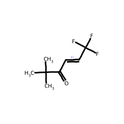 CC(C)(C)C(=O)/C=C/C(F)(F)F